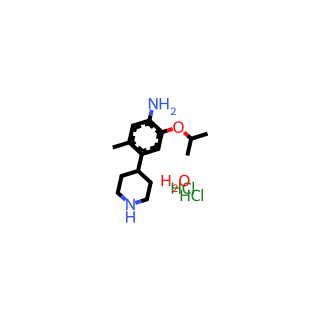 Cc1cc(N)c(OC(C)C)cc1C1CCNCC1.Cl.Cl.O